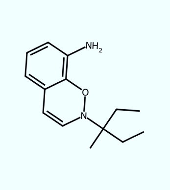 CCC(C)(CC)N1C=Cc2cccc(N)c2O1